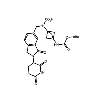 CCCCOC(=O)NC12CC(N(Cc3ccc4c(c3)C(=O)N(C3CCC(=O)NC3=O)C4)C(=O)O)(C1)C2